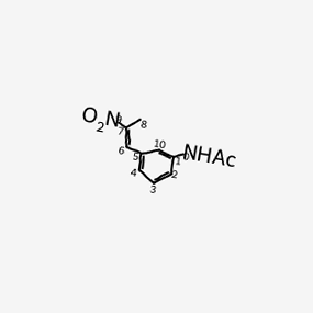 CC(=O)Nc1cccc(C=C(C)[N+](=O)[O-])c1